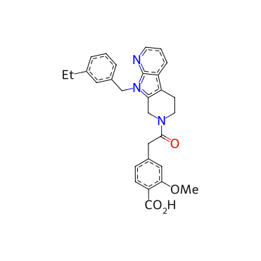 CCc1cccc(Cn2c3c(c4cccnc42)CCN(C(=O)Cc2ccc(C(=O)O)c(OC)c2)C3)c1